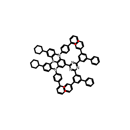 c1ccc(-c2ccc(N3c4ccc(C5CCCCC5)cc4B4c5cc(C6CCCCC6)ccc5N(c5ccc(-c6ccccc6)cc5)c5cc(-c6nc(-c7cc(-c8ccccc8)cc(-c8ccccc8)c7)nc(-c7cc(-c8ccccc8)cc(-c8ccccc8)c7)n6)cc3c54)cc2)cc1